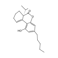 CCCCCc1cc(O)c2c(c1)OC(=O)[C@]1(C(C)C)CCCC=C21